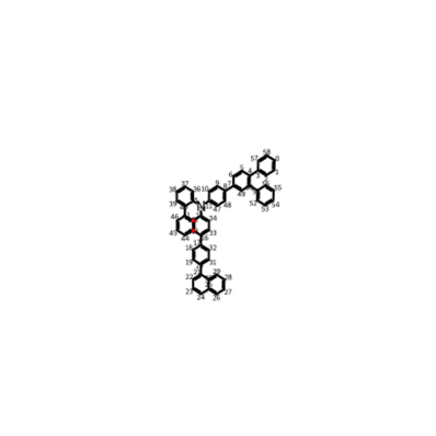 c1ccc(-c2ccc(-c3ccc(N(c4ccc(-c5ccc(-c6cccc7ccccc67)cc5)cc4)c4ccccc4-c4ccccc4)cc3)cc2-c2ccccc2)cc1